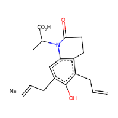 C=CCc1cc2c(c(CC=C)c1O)CCC(=O)N2C(C)C(=O)O.[Na]